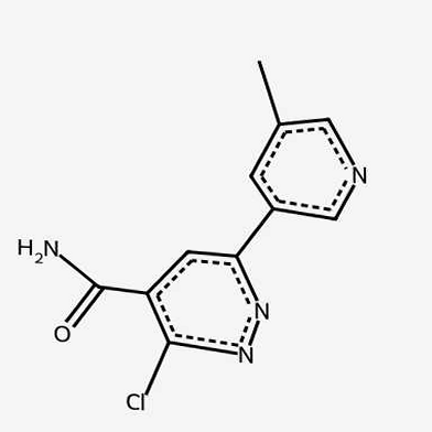 Cc1cncc(-c2cc(C(N)=O)c(Cl)nn2)c1